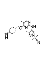 CN[C@H]1CC[C@H](COc2nc(Nc3cn(C(C)(C)C#N)nc3C)ncc2C)CC1